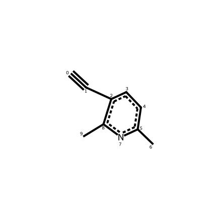 C#Cc1ccc(C)nc1C